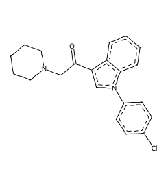 O=C(CN1CCCCC1)c1cn(-c2ccc(Cl)cc2)c2ccccc12